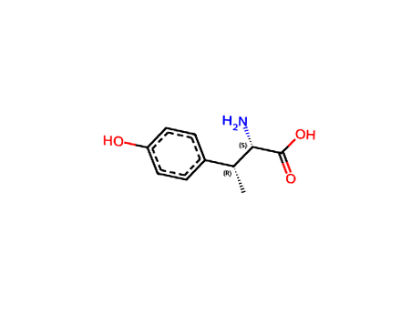 C[C@H](c1ccc(O)cc1)[C@H](N)C(=O)O